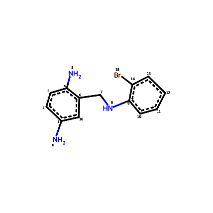 Nc1ccc(N)c(CNc2ccccc2Br)c1